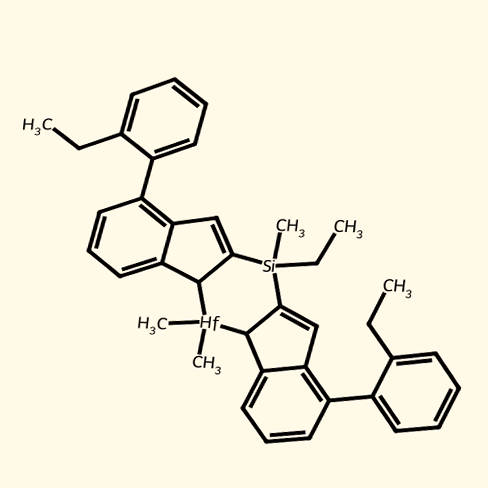 CCc1ccccc1-c1cccc2c1C=C1[CH]2[Hf]([CH3])([CH3])[CH]2C(=Cc3c(-c4ccccc4CC)cccc32)[Si]1(C)CC